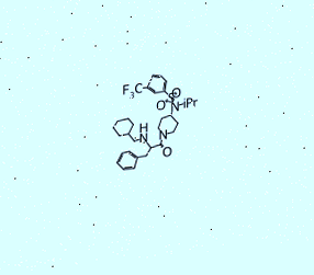 CC(C)N(C1CCN(C(=O)C(Cc2ccccc2)NCC2CCCCC2)CC1)S(=O)(=O)c1cccc(C(F)(F)F)c1